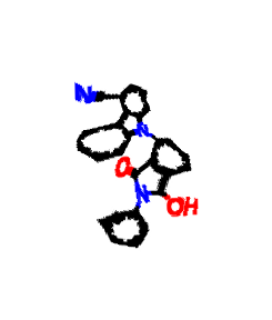 N#Cc1cccc2c1c1ccccc1n2-c1cccc2c1C(=O)N(c1ccccc1)C2O